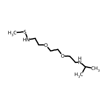 CSNCCOCCOCCNC(C)C